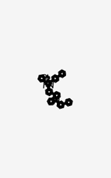 C[Si]1(C)c2ccccc2-c2nc(-c3cccc(-c4cccc5c4c4ccccc4n5-c4cccc(-c5ccccc5)c4)c3)nc(-c3ccc(-c4ccccc4)cc3)c21